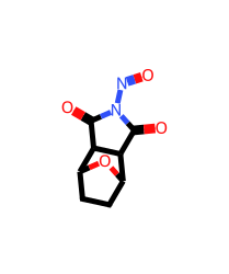 O=NN1C(=O)C2C3CCC(O3)C2C1=O